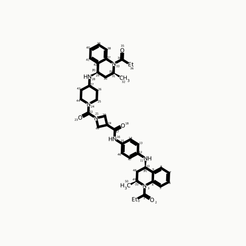 CCC(=O)N1c2ccccc2[C@H](Nc2ccc(NC(=O)C3CN(C(=O)N4CCC(N[C@@H]5C[C@H](C)N(C(=O)CC)c6ccccc65)CC4)C3)cc2)C[C@@H]1C